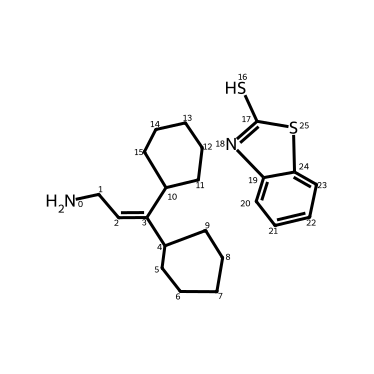 NCC=C(C1CCCCC1)C1CCCCC1.Sc1nc2ccccc2s1